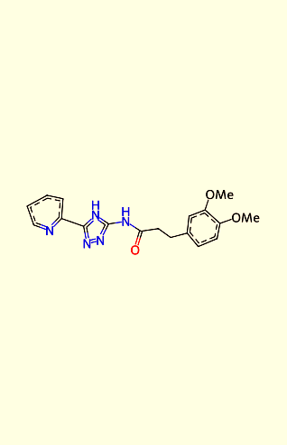 COc1ccc(CCC(=O)Nc2nnc(-c3ccccn3)[nH]2)cc1OC